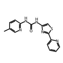 Cc1ccc(NC(=O)Nc2csc(-c3ccccn3)n2)nc1